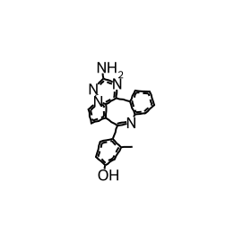 Cc1cc(O)ccc1C1=Nc2ccccc2-c2nc(N)nn3ccc1c23